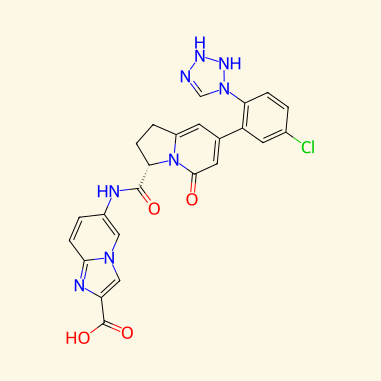 O=C(O)c1cn2cc(NC(=O)[C@@H]3CCc4cc(-c5cc(Cl)ccc5N5C=NNN5)cc(=O)n43)ccc2n1